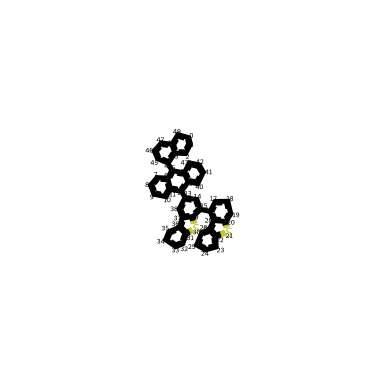 c1ccc2c(-c3c4ccccc4c(-c4cc(-c5cccc6sc7ccccc7c56)c5sc6ccccc6c5c4)c4ccccc34)cccc2c1